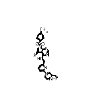 Cc1ccc(S(=O)(=O)n2cc(Br)c3c(NCc4cccc(N5CCNC(CF)C5)n4)ncnc32)cc1